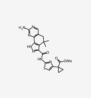 COC(=O)C1(c2csc(NC(=O)c3n[nH]c4c3C(C)(C)Cc3cnc(N)nc3-4)n2)CC1